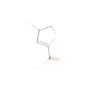 NC1C=C(C(=O)O)SC1